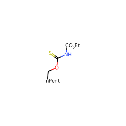 CCCCCCOC(=S)NC(=O)OCC